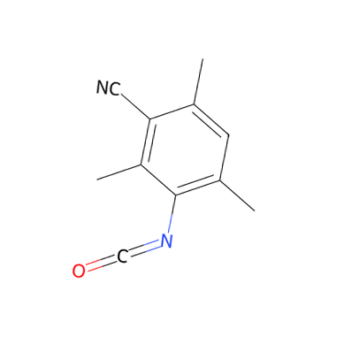 Cc1cc(C)c(N=C=O)c(C)c1C#N